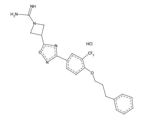 Cl.N=C(N)N1CC(c2nc(-c3ccc(OCCCc4ccccc4)c(C(F)(F)F)c3)no2)C1